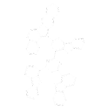 c1ccc2cc3c(cc2c1)c1ccc2ccccc2c1n3-c1cc(C2=NC(c3cccc4c3sc3ccccc34)CC(c3cccc4c3sc3ccccc34)=N2)c2oc3ccccc3c2c1